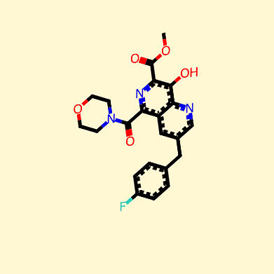 COC(=O)c1nc(C(=O)N2CCOCC2)c2cc(Cc3ccc(F)cc3)cnc2c1O